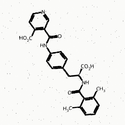 Cc1cccc(C)c1C(=O)N[C@@H](Cc1ccc(NC(=O)c2cnccc2C(=O)O)cc1)C(=O)O